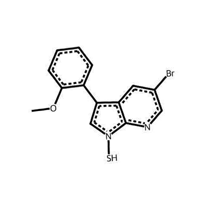 COc1ccccc1-c1cn(S)c2ncc(Br)cc12